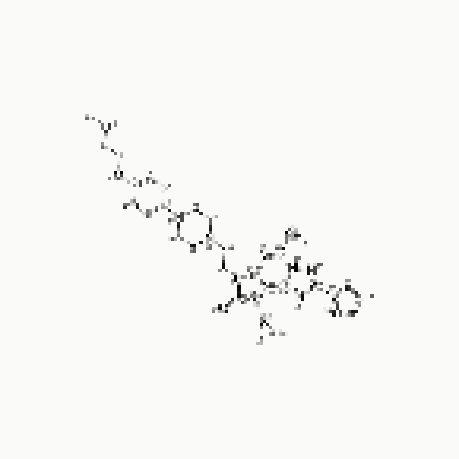 COCCOc1ccc(N2CCN(CCn3c(=O)n(C4CC4)c4c3nc(N)n3nc(-c5ccco5)nc43)CC2)cc1